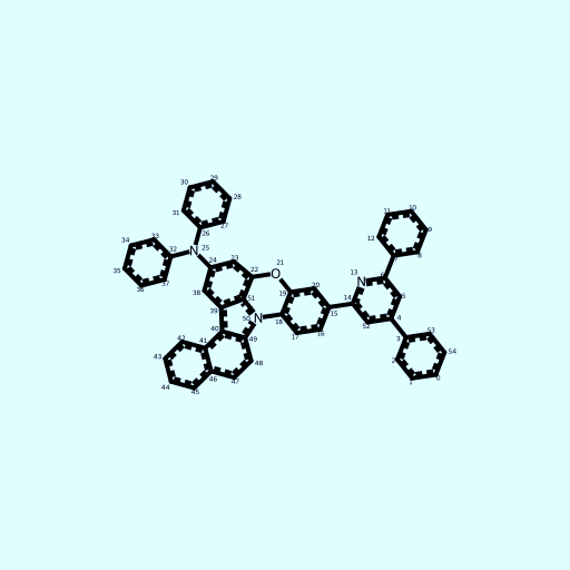 c1ccc(-c2cc(-c3ccccc3)nc(-c3ccc4c(c3)Oc3cc(N(c5ccccc5)c5ccccc5)cc5c6c7ccccc7ccc6n-4c35)c2)cc1